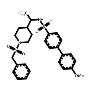 COc1ccc(-c2ccc(S(=O)(=O)NC(C(=O)O)C3CCN(S(=O)(=O)Cc4ccccc4)CC3)cc2)cc1